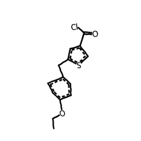 CCOc1ccc(Cc2cc(C(=O)Cl)cs2)cc1